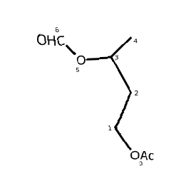 CC(=O)OCCC(C)OC=O